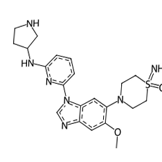 COc1cc2ncn(-c3cccc(NC4CCNC4)n3)c2cc1N1CCS(=N)(=O)CC1